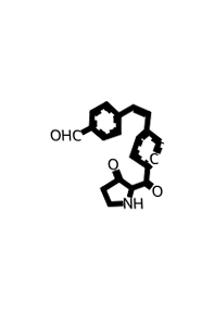 O=Cc1ccc(/C=C\c2ccc(C(=O)C3NCCC3=O)cc2)cc1